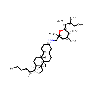 CO[C@]1(CN[C@H]2CC[C@@]3(C)C(CC[C@H]4[C@@H]5CC[C@H]([C@H](C)CCCC(C)C)[C@@]5(C)CC[C@@H]43)C2)C[C@H](OC(C)=O)[C@@H](OC(C)=O)[C@H]([C@H](OC(C)=O)[C@H](COC(C)=O)OC(C)=O)O1